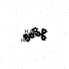 CN1CCCC2c3cc(N(c4ccccc4)c4ccccc4)ccc3N(c3ccc(C4CCNC5=C4NCCC5)cc3)C21